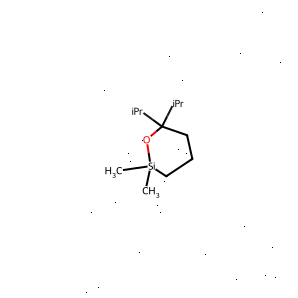 CC(C)C1(C(C)C)CCC[Si](C)(C)O1